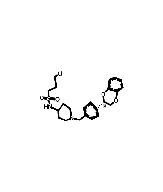 O=S(=O)(CCCCl)NC1CCN(Cc2ccc([C@H]3COc4ccccc4O3)cc2)CC1